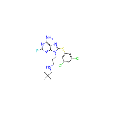 CC(C)(C)CNCCCn1c(Sc2cc(Cl)cc(Cl)c2)nc2c(N)nc(F)nc21